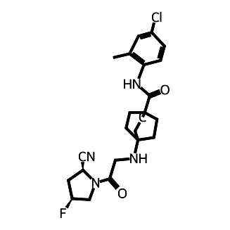 Cc1cc(Cl)ccc1NC(=O)C12CCC(NCC(=O)N3C[C@@H](F)C[C@H]3C#N)(CC1)CC2